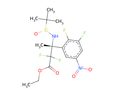 CCOC(=O)C(F)(F)[C@](C)(N[S@+]([O-])C(C)(C)C)c1cc([N+](=O)[O-])cc(F)c1F